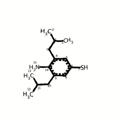 CC(C)Cc1cc(S)cc(CC(C)C)c1N